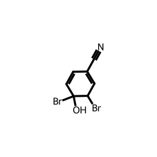 N#CC1=CC(Br)C(O)(Br)C=C1